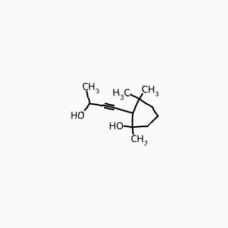 CC(O)C#CC1C(C)(C)CCCC1(C)O